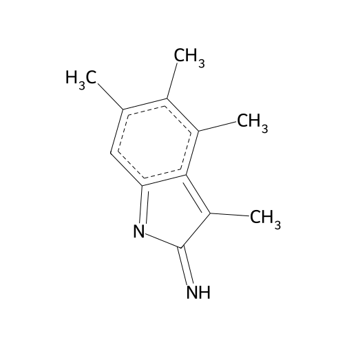 CC1=c2c(C)c(C)c(C)cc2=NC1=N